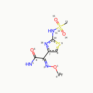 CC(C)O/N=C(/C([NH])=O)c1csc(NS(C)(=O)=O)n1